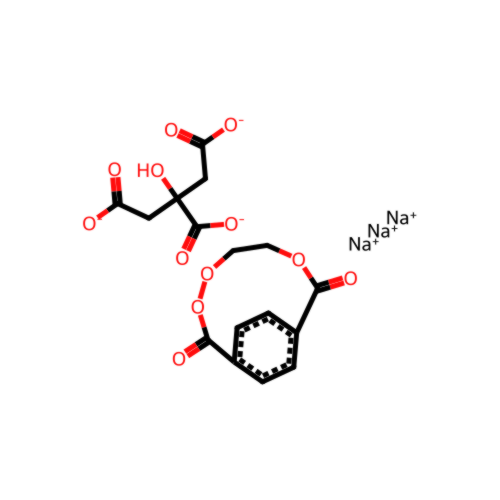 O=C([O-])CC(O)(CC(=O)[O-])C(=O)[O-].O=C1OCCOOC(=O)c2ccc1cc2.[Na+].[Na+].[Na+]